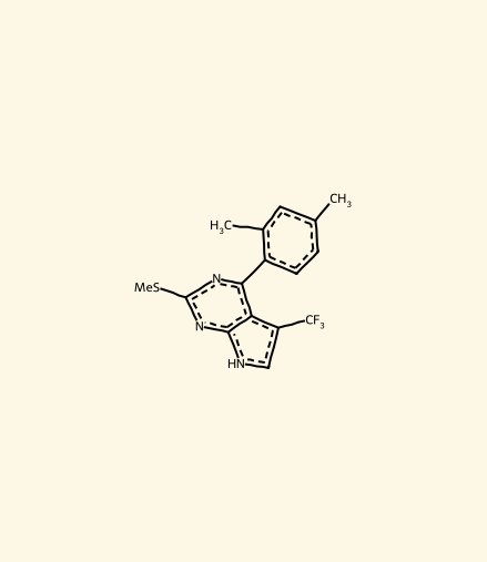 CSc1nc(-c2ccc(C)cc2C)c2c(C(F)(F)F)c[nH]c2n1